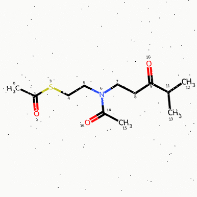 CC(=O)SCCN(CCC(=O)C(C)C)C(C)=O